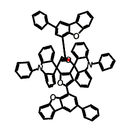 c1ccc(-c2cc(-c3cc4c(o3)C3(c5ccccc5N(c5ccccc5)c5ccccc53)c3cc(-c5cc(-c6ccccc6)cc6c5oc5ccccc56)oc3C43c4ccccc4N(c4ccccc4)c4ccccc43)c3oc4ccccc4c3c2)cc1